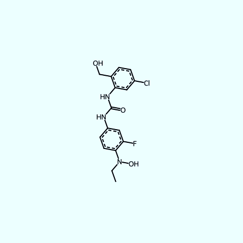 CCN(O)c1ccc(NC(=O)Nc2cc(Cl)ccc2CO)cc1F